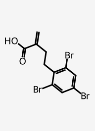 C=C(CCc1c(Br)cc(Br)cc1Br)C(=O)O